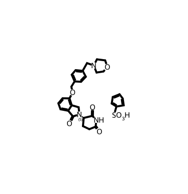 O=C1CC[C@H](N2Cc3c(OCc4ccc(CN5CCOCC5)cc4)cccc3C2=O)C(=O)N1.O=S(=O)(O)c1ccccc1